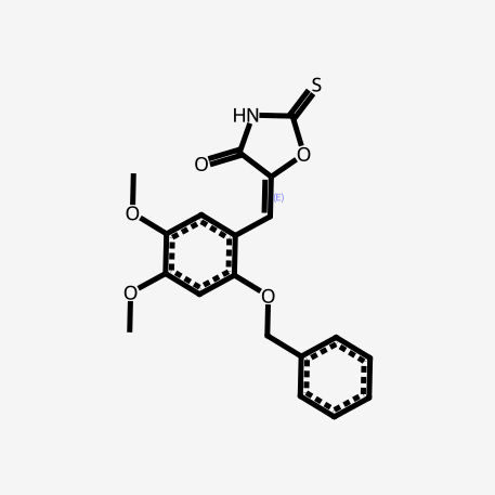 COc1cc(/C=C2/OC(=S)NC2=O)c(OCc2ccccc2)cc1OC